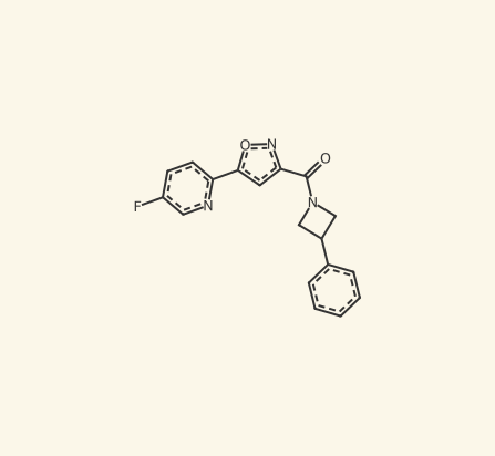 O=C(c1cc(-c2ccc(F)cn2)on1)N1CC(c2ccccc2)C1